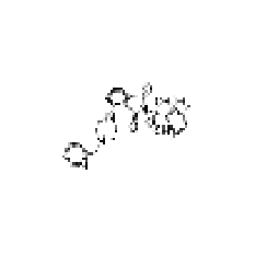 COC(OC)(c1ccccc1)N1C(=O)c2cccc(N3CCN(Cc4ccccn4)CC3)c2C1=O